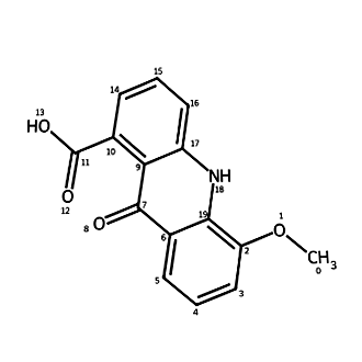 COc1cccc2c(=O)c3c(C(=O)O)cccc3[nH]c12